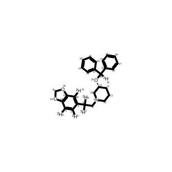 [2H]c1c([2H])c(C([2H])([2H])CN2CCC[C@@H](OC([2H])(c3ccccc3)c3ccccc3)C2)c([2H])c2c1OCO2